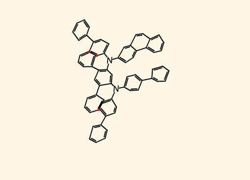 c1ccc(-c2ccc(N(c3ccc(-c4ccccc4)cc3)c3cc(N(c4ccc(-c5ccccc5)cc4)c4ccc5c(ccc6ccccc65)c4)c(-c4ccccc4)cc3-c3ccccc3)cc2)cc1